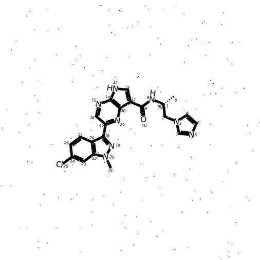 C[C@H](Cn1ccnc1)NC(=O)c1c[nH]c2ncc(-c3nn(C)c4cc(Cl)ccc34)nc12